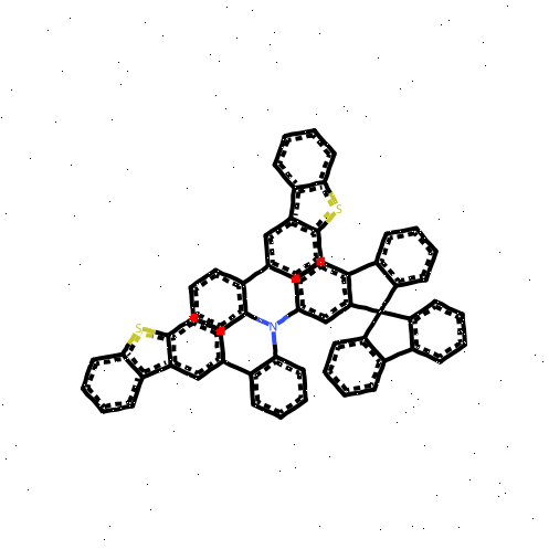 c1ccc(N(c2ccc3c(c2)C2(c4ccccc4-c4ccccc42)c2ccccc2-3)c2ccccc2-c2ccc3sc4ccccc4c3c2)c(-c2ccc3sc4ccccc4c3c2)c1